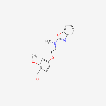 COc1cc(OCCN(C)c2nc3ccccc3o2)ccc1C=O